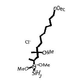 CCCCCCCCCCCCCCCCCCC(C)(CC(C)[N+]([SiH3])(OC)OC)OC.[Cl-]